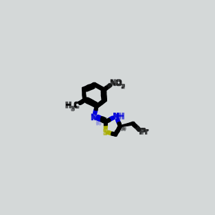 Cc1ccc([N+](=O)[O-])cc1/N=C1\N[C@@H](CC(C)C)CS1